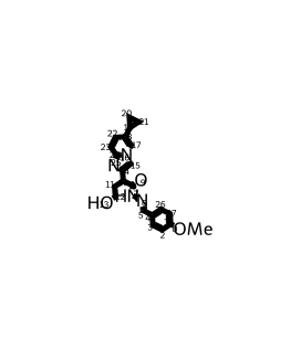 COc1ccc(C=NNC(=O)C(CCO)c2cn3cc(C4CC4)ccc3n2)cc1